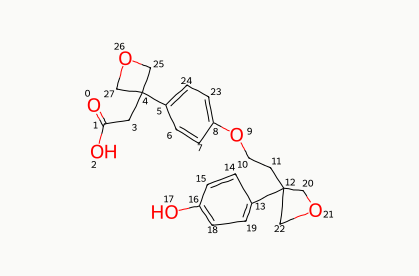 O=C(O)CC1(c2ccc(OCCC3(c4ccc(O)cc4)COC3)cc2)COC1